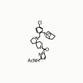 CC(=O)Nc1ccn(C(=O)N2CCC3(CCCN3Cc3ccc(Cl)cc3N3CC4CCC(C3)O4)CC2)n1